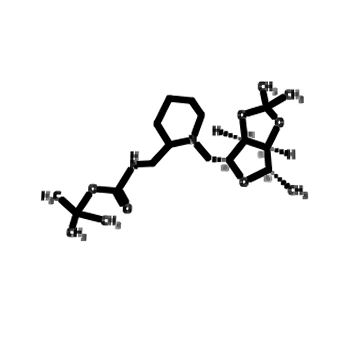 C[C@@H]1O[C@H](CN2CCCCC2CNC(=O)OC(C)(C)C)[C@H]2OC(C)(C)O[C@H]21